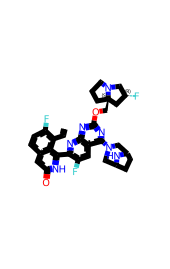 C=Cc1c(F)ccc2cc(=O)[nH]c(-c3nc4nc(OC[C@@]56CCCN5C[C@H](F)C6)nc(N5CC6CCC(C5)N6)c4cc3F)c12